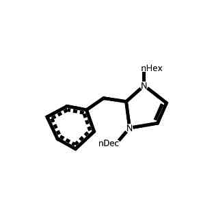 CCCCCCCCCCN1C=CN(CCCCCC)C1Cc1ccccc1